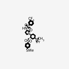 CSc1ccc(S(=O)(=O)C[C@H]2C[C@H](N(C)C(C)C)CC[C@@H]2N2CC[C@H](NS(=O)(=O)c3cccc(C(F)(F)F)c3)C2=O)cc1